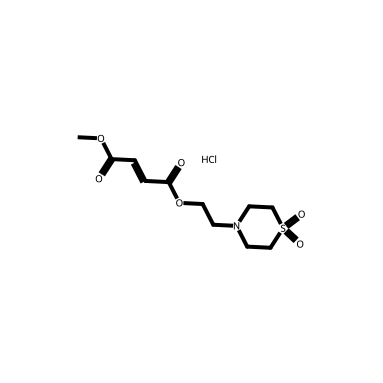 COC(=O)C=CC(=O)OCCN1CCS(=O)(=O)CC1.Cl